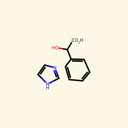 O=C(O)C(O)c1ccccc1.c1c[nH]cn1